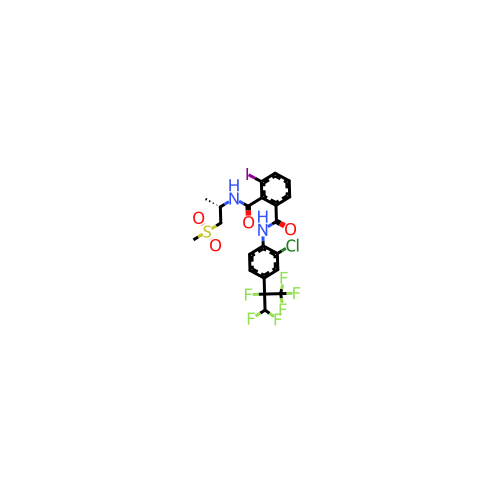 C[C@@H](CS(C)(=O)=O)NC(=O)c1c(I)cccc1C(=O)Nc1ccc(C(F)(C(F)F)C(F)(F)F)cc1Cl